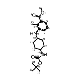 COC(=O)c1cccc(NC2CCC(NC(=O)OC(C)(C)C)CC2)c1C